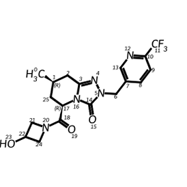 C[C@H]1Cc2nn(Cc3ccc(C(F)(F)F)nc3)c(=O)n2[C@@H](C(=O)N2CC(O)C2)C1